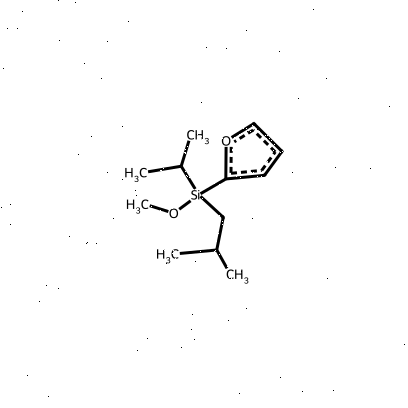 CO[Si](CC(C)C)(c1ccco1)C(C)C